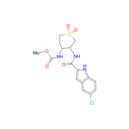 CC(C)(C)OC(=O)NC1CCS(=O)(=O)CC1NC(=O)c1cc2cc(Cl)ccc2[nH]1